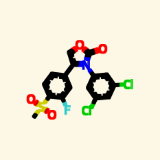 CS(=O)(=O)c1ccc(-c2coc(=O)n2-c2cc(Cl)cc(Cl)c2)cc1F